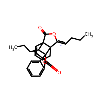 CCC/C=C1\OC(=O)C23C=CCCC12C1(OC(=O)c2ccccc21)C3CCC